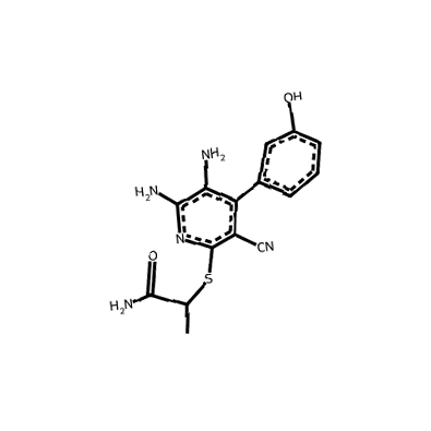 CC(Sc1nc(N)c(N)c(-c2cccc(O)c2)c1C#N)C(N)=O